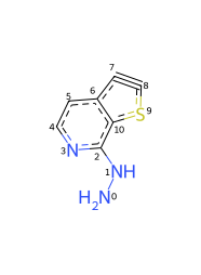 NNc1nccc2c#csc12